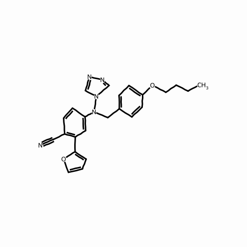 CCCCOc1ccc(CN(c2ccc(C#N)c(-c3ccco3)c2)n2cnnc2)cc1